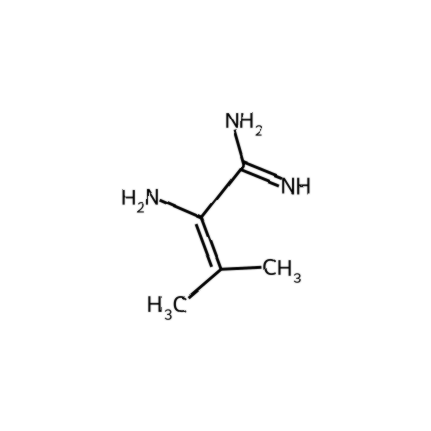 CC(C)=C(N)C(=N)N